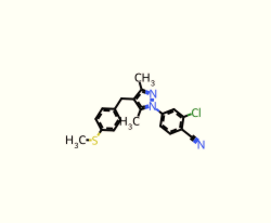 CSc1ccc(Cc2c(C)nn(-c3ccc(C#N)c(Cl)c3)c2C)cc1